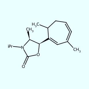 CC1=C=CCC(C)C([C@H]2OC(=O)N(C(C)C)[C@H]2C)=C1